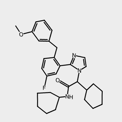 COc1cccc(Cc2ccc(F)cc2-c2nccn2C(C(=O)NC2CCCCC2)C2CCCCC2)c1